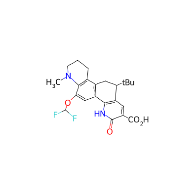 CN1CCCc2c3c(cc(OC(F)F)c21)-c1[nH]c(=O)c(C(=O)O)cc1C(C(C)(C)C)C3